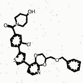 O=C(c1ccc(-c2cc(-c3ccnc4c3OCC(COCc3ccccc3)O4)cs2)c(Cl)c1)N1CCC(O)CC1